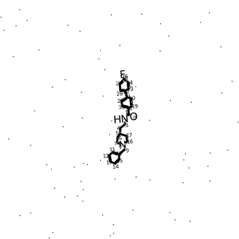 O=C(NCCC1CCN(Cc2ccccc2)CC1)c1ccc(-c2ccc(F)cc2)cc1